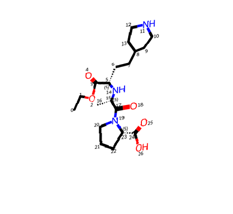 CCOC(=O)[C@H](CCC1CCNCC1)N[C@@H](C)C(=O)N1CCC[C@H]1C(=O)O